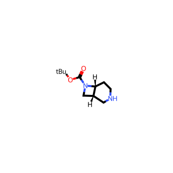 CC(C)(C)OC(=O)N1C[C@H]2CNCC[C@H]21